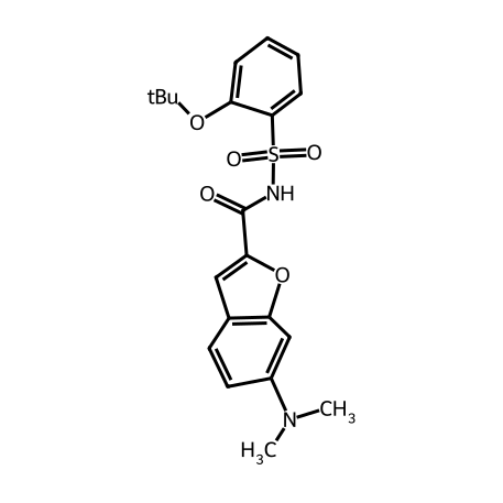 CN(C)c1ccc2cc(C(=O)NS(=O)(=O)c3ccccc3OC(C)(C)C)oc2c1